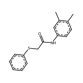 Cc1ccc(NC(=O)CSc2ccccc2)cc1C